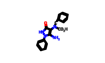 Nc1c(N(Cc2ccccc2)C(=O)O)c(=O)[nH]n1-c1ccccc1